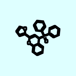 O=P(c1ccccc1)(c1ccccc1)C1C=C(c2ccco2)Oc2ccccc21